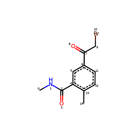 CNC(=O)c1cc(C(=O)CBr)ccc1C